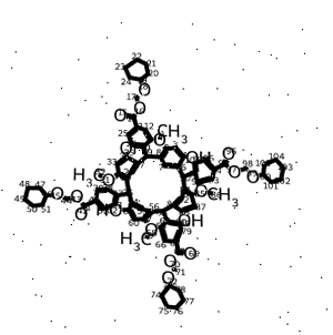 COc1cc(O)c2cc1C(c1ccc(C(=O)OCOC3CCCCC3)cc1)c1cc(c(OC)cc1O)C(c1ccc(C(=O)OCOC3CCCCC3)cc1)c1cc(c(OC)cc1O)C(c1ccc(C(=O)OCOC3CCCCC3)cc1)c1cc(c(OC)cc1O)C2c1ccc(C(=O)OCOC2CCCCC2)cc1